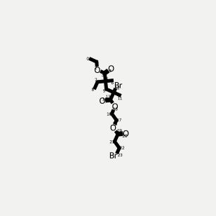 CCOC(=O)C(C)(CC)CC(C)(Br)C(=O)OCCOC(=O)CCBr